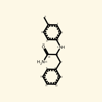 Cc1ccc(NC(Cc2ccccc2)C(N)=O)cc1